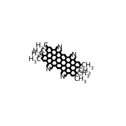 Cc1cc2c3cncc4c5cc6c7cncc8c9cc(C)c(C)c%10c%11c(C)c(C)cc%12c%13cncc%14c%15cc%16c%17cncc%18c%19cc(C)c(C)c%20c(c1C)c2c1c(c34)c2c5c3c6c4c(c87)c(c9%10)c(c%12%11)c(c%13%14)c4c%15c3c%16c2c(c%18%17)c1c%19%20